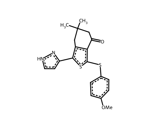 COc1ccc(Sc2sc(-c3cc[nH]n3)c3c2C(=O)CC(C)(C)C3)cc1